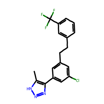 Cc1[nH]nnc1-c1cc(Cl)cc(CCc2cccc(C(F)(F)F)c2)c1